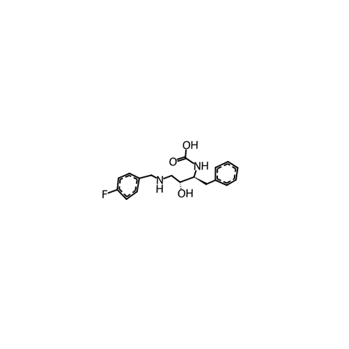 O=C(O)N[C@@H](Cc1ccccc1)[C@H](O)CNCc1ccc(F)cc1